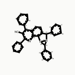 N#Cc1c(-c2ccccc2)nc2c3c(ccc2c1-c1ccccc1)C(c1ccccc1)N1C(c2ccccc2)N31